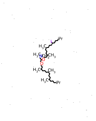 CC(C)CCCC(C)CCCC(C)CCCC(C)CCOCC(CN(C)C)OCCC(C)CCCC(C)CCCC(I)CCCC(C)C